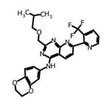 CC(C)COCc1nc(Nc2ccc3c(c2)OCCO3)c2ccc(-c3ncccc3C(F)(F)F)nc2n1